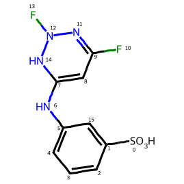 O=S(=O)(O)c1cccc(NC2=CC(F)=NN(F)N2)c1